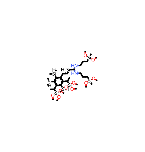 CO[Si](C)(CCCNC(NCCC[Si](C)(OC)OC)[SiH2]CCc1c(C(C)[Si](OC)(OC)OC)c([SiH](C)C)c(C(C)[Si](OC)(OC)OC)c([SiH](C)C)c1[SiH](C)C)OC